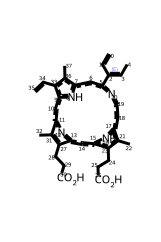 C=C/C(=C\C)c1cc2[nH]c(cc3nc(cc4[nH]c(ccn1)c(C)c4CCC(=O)O)C(CCC(=O)O)=C3C)c(C=C)c2C